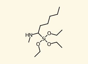 CCCCCC(NC)[Si](OCC)(OCC)OCC